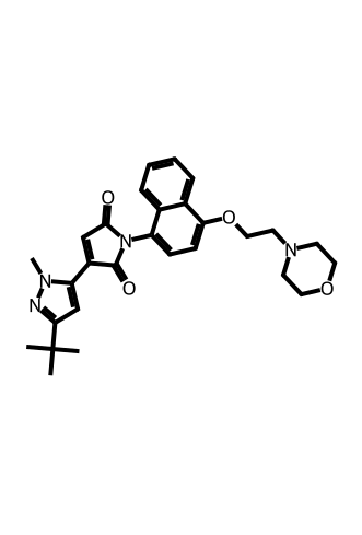 Cn1nc(C(C)(C)C)cc1C1=CC(=O)N(c2ccc(OCCN3CCOCC3)c3ccccc23)C1=O